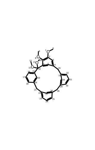 COc1cc2cc(c1OC)C(OC)(OC)c1cccc(c1)Cc1cccc(c1)Cc1cccc(c1)C2